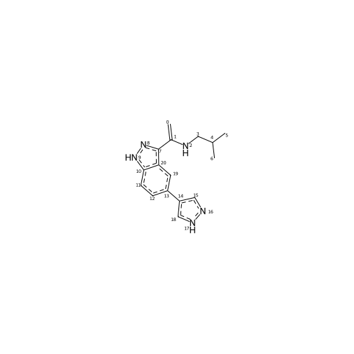 C=C(NCC(C)C)c1n[nH]c2ccc(-c3cn[nH]c3)cc12